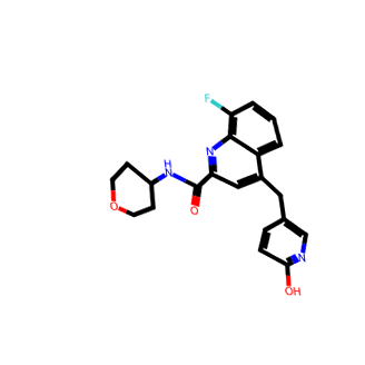 O=C(NC1CCOCC1)c1cc(Cc2ccc(O)nc2)c2cccc(F)c2n1